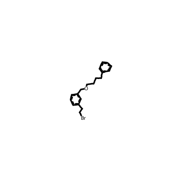 BrCCc1cccc(COCCCCc2ccccc2)c1